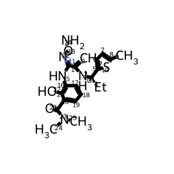 C=C(N[C@H](CC)c1ccc(C)s1)/C(=N\ON)Nc1cccc(C(=O)N(C)C)c1O